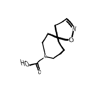 O=C(O)N1CCC2(CC=NO2)CC1